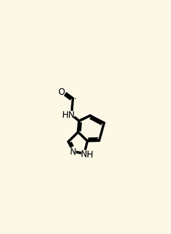 O=[C]Nc1cccc2[nH]ncc12